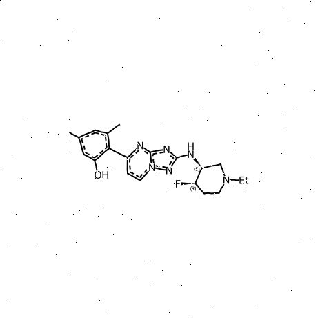 CCN1CC[C@@H](F)[C@@H](Nc2nc3nc(-c4c(C)cc(C)cc4O)ccn3n2)C1